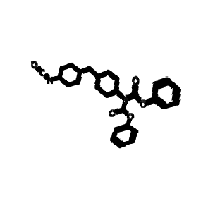 O=C=NC1CCC(CC2CCC(N(C(=O)Oc3ccccc3)C(=O)Oc3ccccc3)CC2)CC1